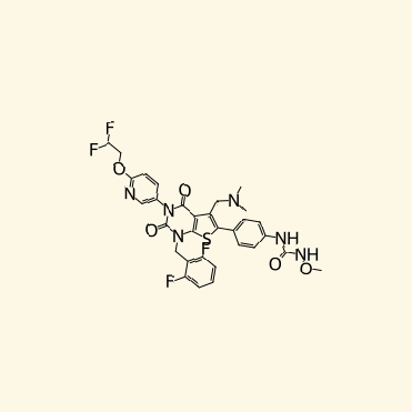 CONC(=O)Nc1ccc(-c2sc3c(c2CN(C)C)c(=O)n(-c2ccc(OCC(F)F)nc2)c(=O)n3Cc2c(F)cccc2F)cc1